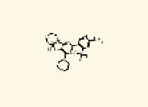 Nc1cc(C(F)(F)F)c(-c2nc(N3CCOCC3)c3c(n2)N2CCOC[C@H]2C3)cn1